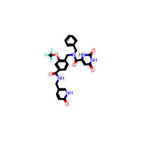 O=C(NCc1ccc(=O)[nH]c1)c1ccc(CN(Cc2ccccc2)C(=O)c2cc(=O)[nH]c(=O)[nH]2)c(OC(F)(F)F)c1